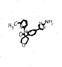 Cc1cccc(NC(=O)C2(c3ccc(-c4cnc(N)nc4)cc3)CCOCC2)n1